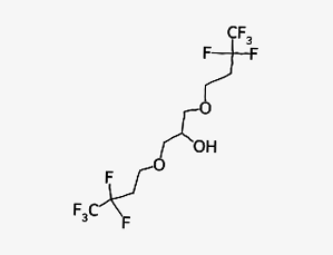 OC(COCCC(F)(F)C(F)(F)F)COCCC(F)(F)C(F)(F)F